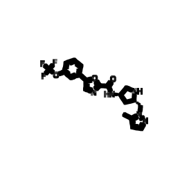 Cc1ccnn1C[C@@H]1C[C@@H](NC(=O)c2ncc(-c3cccc(OC(F)(F)F)c3)o2)CN1